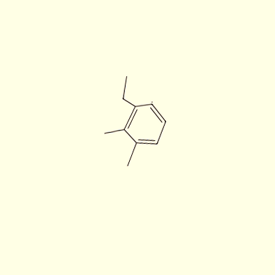 CCc1[c]ccc(C)c1C